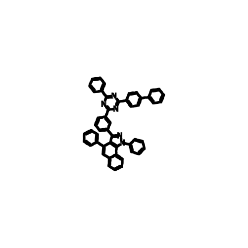 c1ccc(-c2ccc(-c3nc(-c4ccccc4)nc(-c4cccc(-c5nn(-c6ccccc6)c6c5c(-c5ccccc5)cc5ccccc56)c4)n3)cc2)cc1